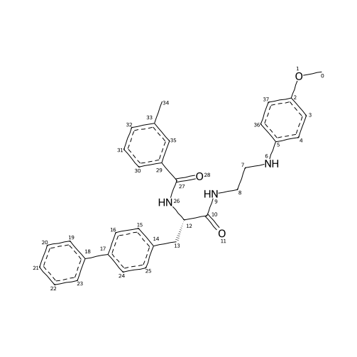 COc1ccc(NCCNC(=O)[C@H](Cc2ccc(-c3ccccc3)cc2)NC(=O)c2cccc(C)c2)cc1